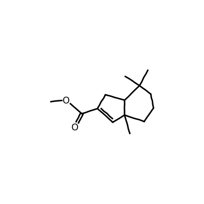 COC(=O)C1=CC2(C)CCCC(C)(C)C2C1